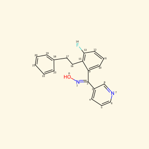 ON=C(c1cccnc1)c1cccc(F)c1CCc1ccccc1